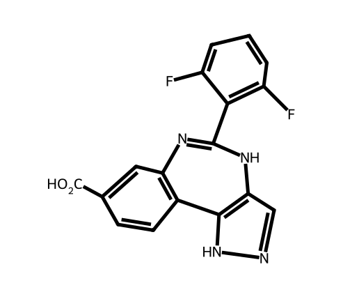 O=C(O)c1ccc2c(c1)N=C(c1c(F)cccc1F)Nc1cn[nH]c1-2